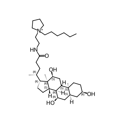 CCCCCC[N+]1(CCNC(=O)CC[C@@H](C)[C@H]2CC[C@H]3[C@@H]4[C@H](O)C[C@@H]5C[C@H](O)CC[C@]5(C)[C@H]4C[C@H](O)[C@]23C)CCCC1